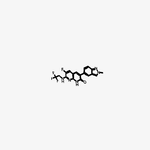 Cn1cc2cc(-c3cc4cc(F)c(NCC(F)(F)F)nc4[nH]c3=O)ccc2n1